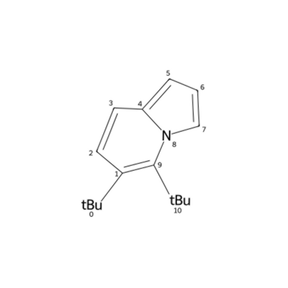 CC(C)(C)c1ccc2cccn2c1C(C)(C)C